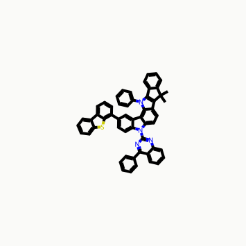 CC1(C)c2ccccc2-c2c1c1ccc3c(c4cc(-c5cccc6c5sc5ccccc56)ccc4n3-c3nc(-c4ccccc4)c4ccccc4n3)c1n2-c1ccccc1